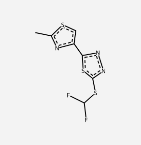 Cc1nc(-c2nnc(SC(F)F)s2)cs1